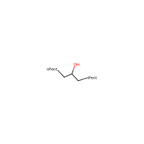 CCCCCCC(O)CCCCCC